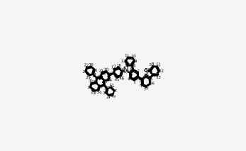 C1=C(c2ccc3c(c2)c2ccccc2n3-c2ccc(-c3ccc4c(-c5ccccc5)c5ccccc5c(-c5ccccc5)c4c3)cc2)c2sc3ccccc3c2CC1